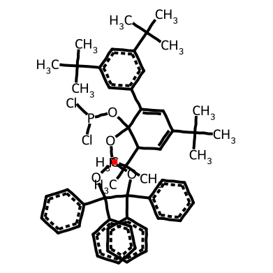 CC(C)(C)C1=CC(C(C)(C)C)C(OP(Cl)Cl)(OP2OC(c3ccccc3)(c3ccccc3)C(c3ccccc3)(c3ccccc3)O2)C(c2cc(C(C)(C)C)cc(C(C)(C)C)c2)=C1